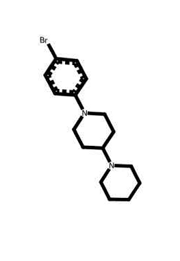 Brc1ccc(N2CCC(N3CCCCC3)CC2)cc1